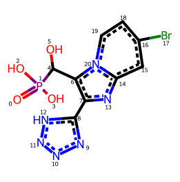 O=P(O)(O)C(O)c1c(-c2nnn[nH]2)nc2cc(Br)ccn12